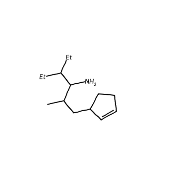 CCC(CC)C(N)C(C)CC1C=CCC1